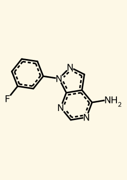 Nc1ncnc2c1cnn2-c1cccc(F)c1